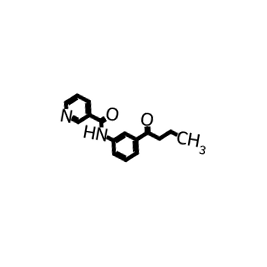 CCCC(=O)c1cccc(NC(=O)c2cccnc2)c1